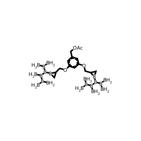 BB(B)B(B)B(B(B)B)B1CC1COc1cc(COC(C)=O)cc(OCC2CB2B(B(B)B)B(B)B(B)B)c1